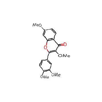 COc1ccc2c(=O)c(OC)c(-c3ccc(OC)c(OC)c3)oc2c1